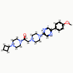 COc1ccc(-c2cnc(N3CCN(CC(=O)N4CCN(C5CCC5)CC4)CC3)cn2)cc1